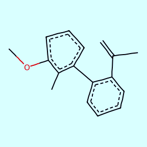 C=C(C)c1ccccc1-c1cccc(OC)c1C